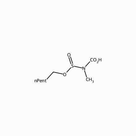 CCCCCCOS(=O)N(C)C(=O)O